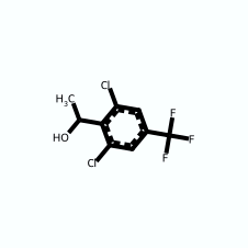 CC(O)c1c(Cl)cc(C(F)(F)F)cc1Cl